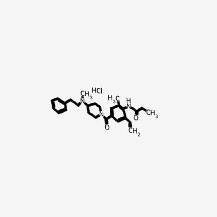 C=Cc1cc(C(=O)N2CCC(N(C)CCc3ccccc3)CC2)cc(C)c1NC(=O)CC.Cl